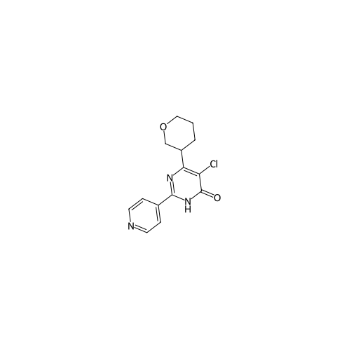 O=c1[nH]c(-c2ccncc2)nc(C2CCCOC2)c1Cl